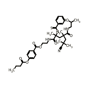 CCCC(=O)Oc1ccc(C(=O)OCCNC(=O)C(C)(CC(C)(CC(C)(C)C#N)C(=O)NCC(C)O)SC(=S)c2ccccc2)cc1